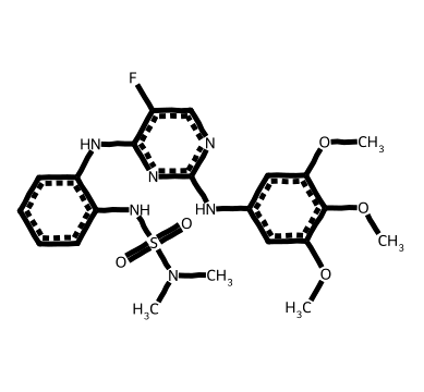 COc1cc(Nc2ncc(F)c(Nc3ccccc3NS(=O)(=O)N(C)C)n2)cc(OC)c1OC